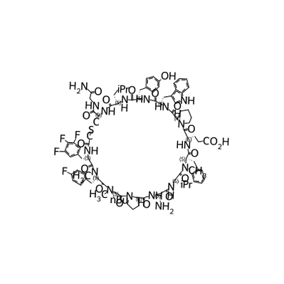 CCCC[C@H]1C(=O)N2CCC[C@@H]2C(=O)N[C@@H](CN)C(=O)N[C@@H](C(C)C)C(=O)N(C)[C@@H](Cc2ccccc2)C(=O)N[C@@H](CCC(=O)O)C(=O)N2CCCC[C@@H]2C(=O)N[C@@H](Cc2c[nH]c3ccccc23)C(=O)N[C@@H](Cc2ccc(O)cc2)C(=O)N[C@@H](CC(C)C)C(=O)N[C@H](C(=O)NCC(N)=O)CSCC(=O)N[C@@H](Cc2cc(F)c(F)c(F)c2)C(=O)N(C)[C@@H](Cc2ccc(F)cc2)C(=O)N1C